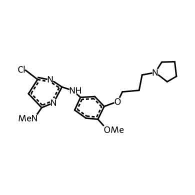 CNc1cc(Cl)nc(Nc2ccc(OC)c(OCCCN3CCCC3)c2)n1